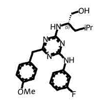 COc1ccc(Cc2nc(Nc3cccc(F)c3)nc(N[C@H](CO)CC(C)C)n2)cc1